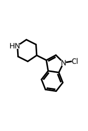 Cln1cc(C2CCNCC2)c2ccccc21